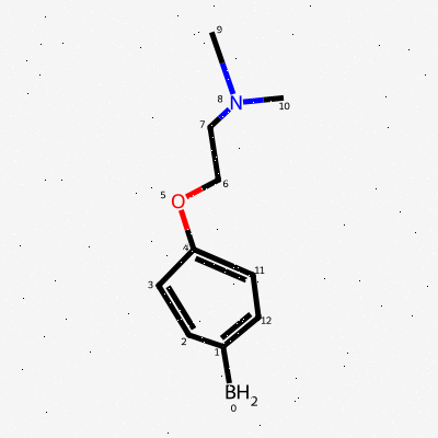 Bc1ccc(OCCN(C)C)cc1